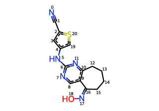 N#Cc1cc(Nc2ncc3c(n2)CCCC/C3=N/O)cs1